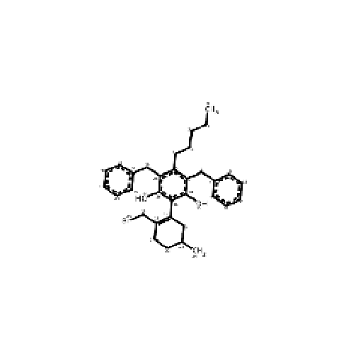 CCCCCc1c(Cc2ccccc2)c(O)c(C2=C(CBr)CCC(C)C2)c(O)c1Cc1ccccc1